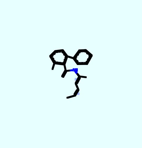 C=C(N/C(C)=C/C=C\C)c1c(C)cccc1-c1ccccc1